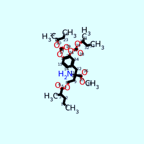 CCCC(C)C(=O)OCC[C@@](N)(Cc1ccc(OC(=O)O[C@@H](C)CC)c(OC(=O)OC(C)CC)c1)C(=O)OC